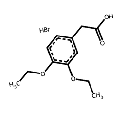 Br.CCOc1ccc(CC(=O)O)cc1OCC